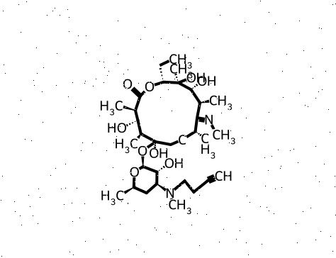 C#CCCN(C)[C@H]1C[C@@H](C)O[C@@H](O[C@]2(O)CC[C@@H](C)/C(=N\C)[C@H](C)[C@@H](O)[C@](C)(O)[C@@H](CC)OC(=O)[C@H](C)[C@@H](O)[C@@H]2C)[C@@H]1O